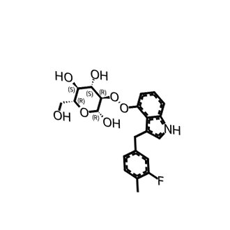 Cc1ccc(Cc2c[nH]c3cccc(OO[C@@H]4[C@@H](O)[C@H](O)[C@@H](CO)O[C@H]4O)c23)cc1F